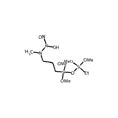 CC[Si](OC)(OC)O[Si](CCCN(C)N(O)N=O)(OC)OC